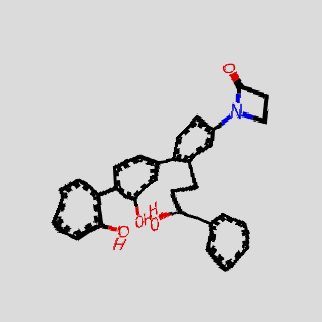 O=C1CCN1c1ccc(-c2ccc(-c3ccccc3O)c(O)c2)c(CC[C@H](O)c2ccccc2)c1